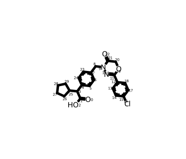 O=C(O)C(c1ccc(CN2N=C(c3ccc(Cl)cc3)OCC2=O)cc1)C1CCCC1